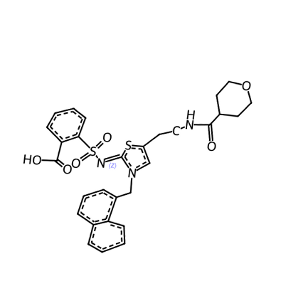 O=C(O)c1ccccc1S(=O)(=O)/N=c1\sc(CCNC(=O)C2CCOCC2)cn1Cc1cccc2ccccc12